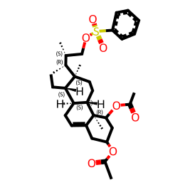 CC(=O)OC1CC2=CC[C@H]3[C@@H]4CC[C@H]([C@H](C)COS(=O)(=O)c5ccccc5)[C@@]4(C)CC[C@@H]3[C@@]2(C)C(OC(C)=O)C1